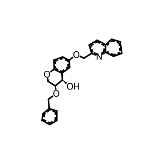 O[C@@H]1c2cc(OCc3ccc4ccccc4n3)ccc2OC[C@@H]1OCc1ccccc1